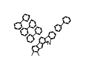 Cc1ccc2c(c1C)C=c1c-2ccc2c1=Nc1ccccc1-2.c1ccc(-c2ccccc2)cc1.c1ccc(-c2ccccc2)cc1.c1ccc(-c2ccccc2)cc1.c1ccc(-c2ccccc2)cc1